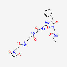 CCNC(=O)CNC(=O)C(Cc1ccccc1)NC(=O)CNC(=O)CNC(=O)CCCNC(=O)CCN1C(=O)C=CC1=O